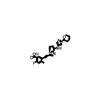 Cc1cc(F)c(C(=O)O)cc1C#Cc1cnc2c(Nc3cnn(C4CCCCO4)c3)cccn12